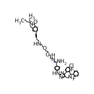 CCCC(C)N1Cc2cc(C#CCCNCCOCCOCCN/C=C(\N)c3ccc(Nc4ncc5c(n4)-c4ccc(Cl)cc4C(c4c(F)cccc4F)=NC5)cc3)ccc2C1=O